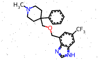 CN1CCC(COCc2cc(C(F)(F)F)cc3[nH]cnc23)(c2ccccc2)CC1